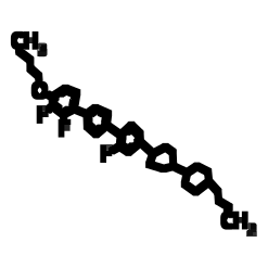 C=CCCC1CCC(C2CCC(c3ccc(-c4ccc(-c5ccc(OCCCCC)c(F)c5F)cc4)c(F)c3)CC2)CC1